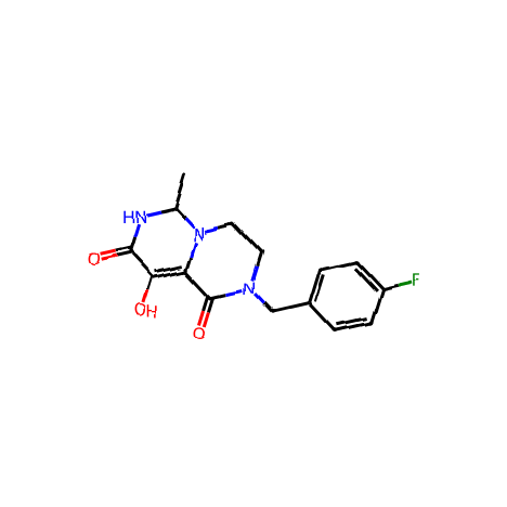 CC1NC(=O)C(O)=C2C(=O)N(Cc3ccc(F)cc3)CCN21